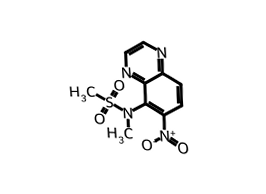 CN(c1c([N+](=O)[O-])ccc2nccnc12)S(C)(=O)=O